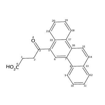 O=C(O)CCC(=O)c1cc2c3ccccc3ccc2c2ccccc12